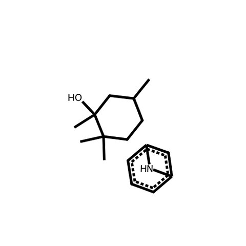 CC1CCC(C)(C)C(C)(O)C1.c1cc2cc(c1)N2